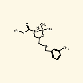 Cc1cccc(CNCC(CNC(=O)OC(C)(C)C)O[Si](C)(C)C(C)(C)C)c1